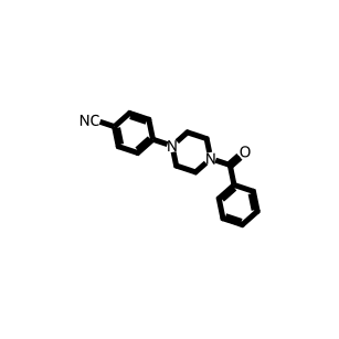 N#Cc1ccc(N2CCN(C(=O)c3ccccc3)CC2)cc1